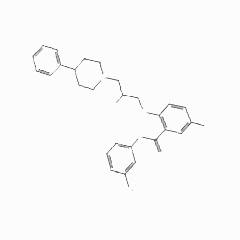 O=C(Nc1cccc(C(F)(F)F)c1)c1cc(Cl)ccc1OCC(O)CN1CCC(c2ccccc2)CC1